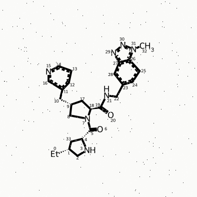 CC[C@H]1CN[C@@H](C(=O)N2C[C@H](Cc3cccnc3)C[C@H]2C(=O)NCc2ccc3c(c2)nnn3C)C1